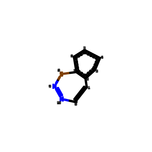 [C]1=Cc2ccccc2SN=N1